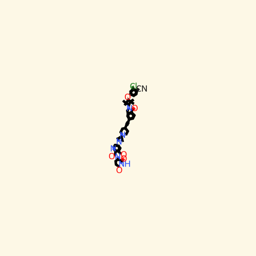 CC1(C)[C@H](Oc2ccc(C#N)c(Cl)c2)C(C)(C)[C@H]1N1Cc2cc(C#CC3CCN(C4CN(c5cnc6c(c5)C(=O)N(C5CCC(=O)NC5=O)C6=O)C4)CC3)ccc2C1=O